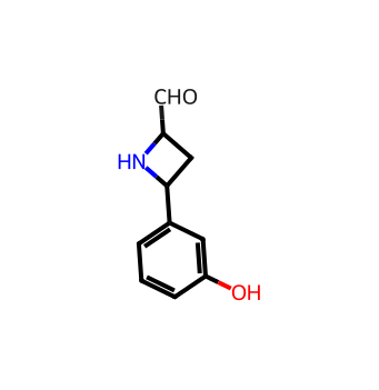 O=CC1CC(c2cccc(O)c2)N1